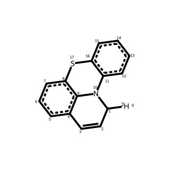 [2H]C1C=Cc2cccc3c2N1c1ccccc1S3